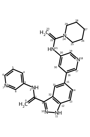 C=C(Nc1cccnc1)c1n[nH]c2ccc(-c3cncc(NC(=C)N4CCCCC4)c3)cc12